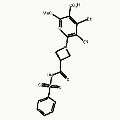 CCc1c(C#N)c(N2CC(C(=O)NS(=O)(=O)c3ccccc3)C2)nc(OC)c1C(=O)O